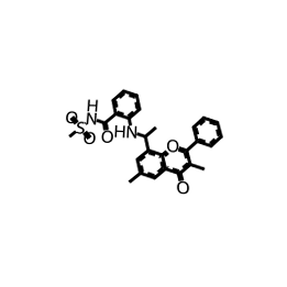 Cc1cc(C(C)Nc2ccccc2C(=O)NS(C)(=O)=O)c2oc(-c3ccccc3)c(C)c(=O)c2c1